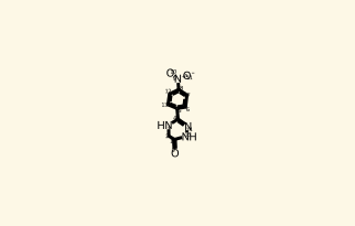 O=C1CNC(c2ccc([N+](=O)[O-])cc2)=NN1